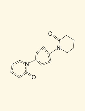 O=C1CCCCN1c1ccc(-n2ccccc2=O)cc1